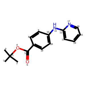 CC(C)(C)OC(=O)c1ccc(Nc2ccccn2)cc1